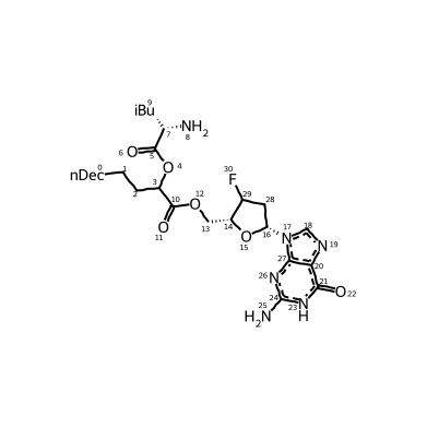 CCCCCCCCCCCCC(OC(=O)[C@@H](N)[C@@H](C)CC)C(=O)OC[C@H]1O[C@@H](n2cnc3c(=O)[nH]c(N)nc32)CC1F